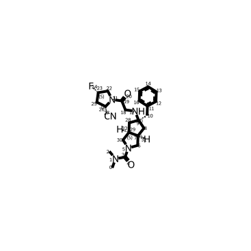 CN(C)C(=O)N1C[C@@H]2C[C@](Cc3ccccc3)(NCC(=O)N3C[C@@H](F)C[C@H]3C#N)C[C@@H]2C1